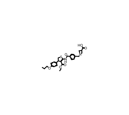 CCCOc1ccc(C2CSC(NC(=O)c3ccc(CN4CC(C(=O)O)C4)cc3)=C2C(=O)OCC)cc1